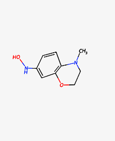 CN1CCOc2cc(NO)ccc21